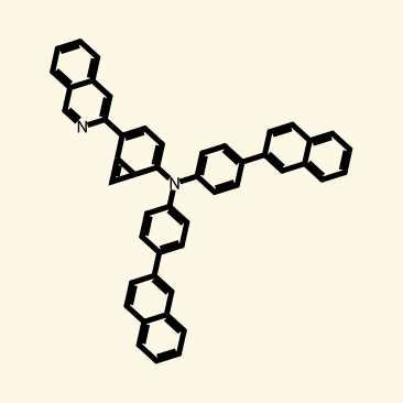 C1=C(c2cc3ccccc3cn2)C2=CC2C(N(c2ccc(-c3ccc4ccccc4c3)cc2)c2ccc(-c3ccc4ccccc4c3)cc2)=C1